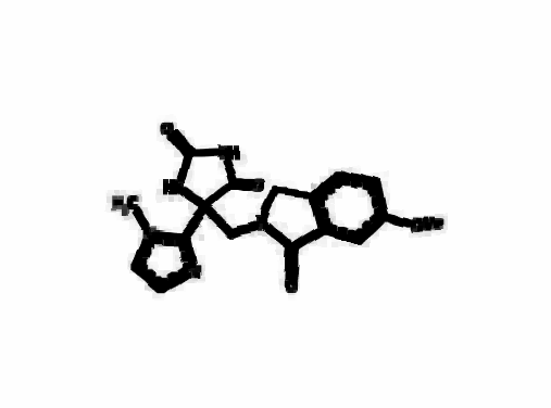 COc1ccc2c(c1)C(=O)N(CC1(c3nccn3C)NC(=O)NC1=O)C2